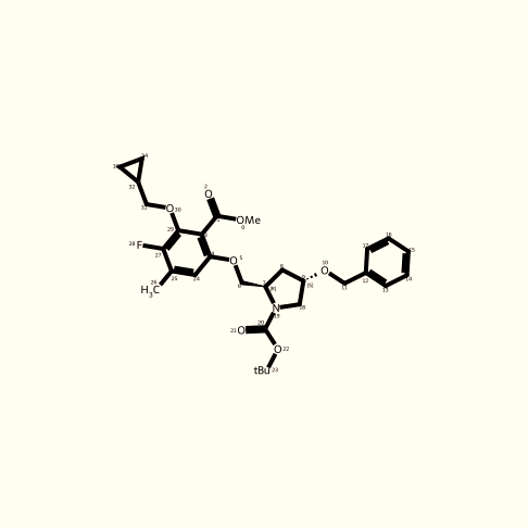 COC(=O)c1c(OC[C@H]2C[C@H](OCc3ccccc3)CN2C(=O)OC(C)(C)C)cc(C)c(F)c1OCC1CC1